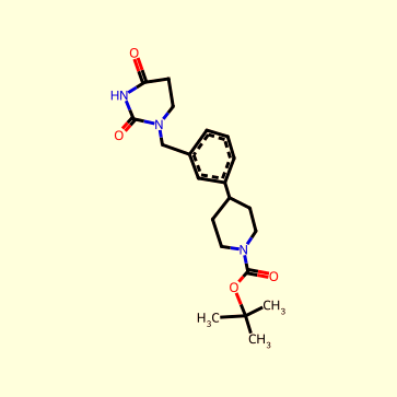 CC(C)(C)OC(=O)N1CCC(c2cccc(CN3CCC(=O)NC3=O)c2)CC1